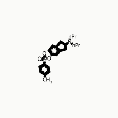 CCCN(CCC)C1Cc2ccc(OS(=O)(=O)c3ccc(C)cc3)cc2C1